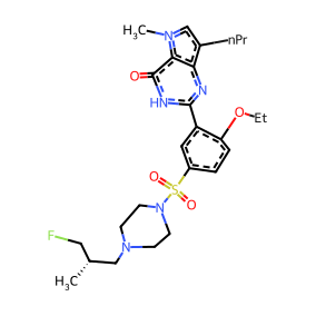 CCCc1cn(C)c2c(=O)[nH]c(-c3cc(S(=O)(=O)N4CCN(C[C@H](C)CF)CC4)ccc3OCC)nc12